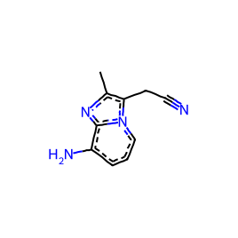 Cc1nc2c(N)cccn2c1CC#N